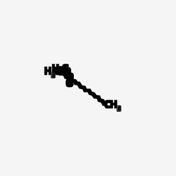 CCCCCCCCCCCCCCCC(=O)OCC(COC)OC